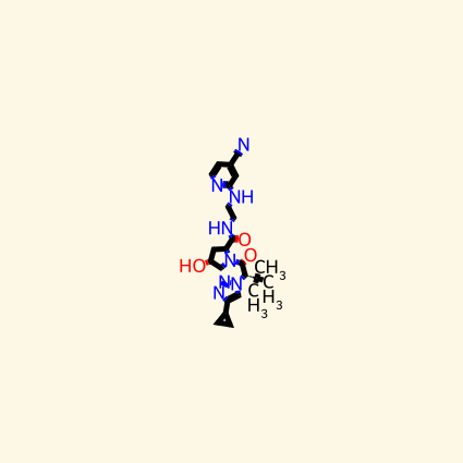 CC(C)(C)[C@@H](C(=O)N1CC(O)CC1C(=O)NCCNc1cc(C#N)ccn1)n1cc(C2CC2)nn1